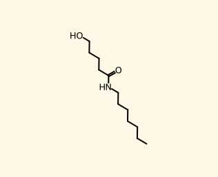 CCCCCCCNC(=O)CCCCO